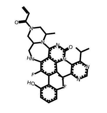 C=CC(=O)N1CC(C)N2c3nc(=O)n(-c4c(C(C)C)ncnc4C(C)C)c4c(F)c(-c5c(O)cccc5F)c(F)c(c34)NCC2C1